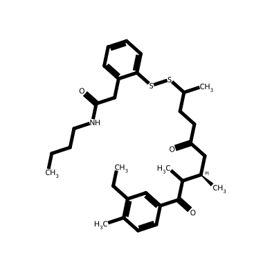 CCCCNC(=O)Cc1ccccc1SSC(C)CCC(=O)C[C@@H](C)C(C)C(=O)c1ccc(C)c(CC)c1